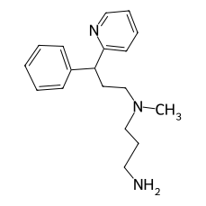 CN(CCCN)CCC(c1ccccc1)c1ccccn1